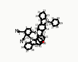 N#Cc1ccc(-n2c3ccccc3c3cc4c(cc32)c2ccccc2n4-c2ccccc2)c(-n2c3ccccc3c3ccccc32)c1C#N